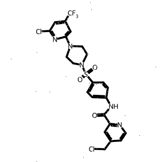 O=C(Nc1ccc(S(=O)(=O)N2CCN(c3cc(C(F)(F)F)cc(Cl)n3)CC2)cc1)c1cc(CCl)ccn1